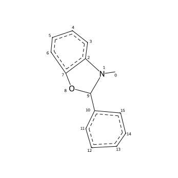 CN1c2ccccc2OC1c1ccccc1